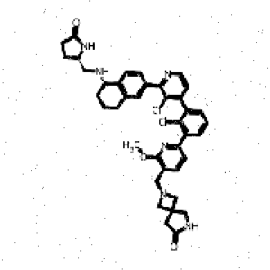 COc1nc(-c2cccc(-c3ccnc(-c4ccc5c(c4)CCC[C@@H]5NC[C@H]4CCC(=O)N4)c3Cl)c2Cl)ccc1CN1CC2(CNC(=O)C2)C1